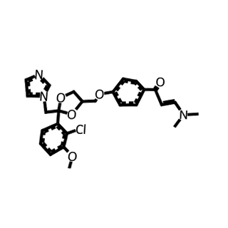 COc1cccc(C2(Cn3ccnc3)OCC(COc3ccc(C(=O)C=CN(C)C)cc3)O2)c1Cl